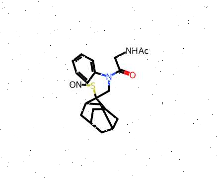 CC(=O)NCC(=O)N(CC1(SN=O)C2CC3CC(C2)CC1C3)c1ccccc1